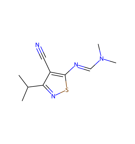 CC(C)c1nsc(N=CN(C)C)c1C#N